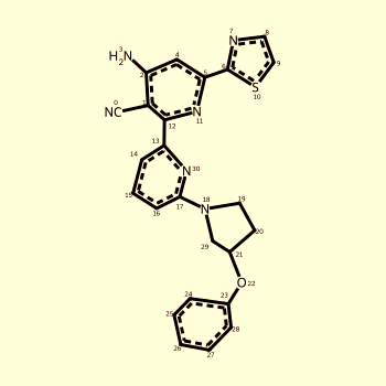 N#Cc1c(N)cc(-c2nccs2)nc1-c1cccc(N2CCC(Oc3ccccc3)C2)n1